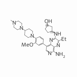 CCc1nc2c(N)ncc(-c3ccc(N4CCC(N5CCN(C)CC5)CC4)c(OC)c3)c2nc1N[C@H]1CC[C@@H](O)C1